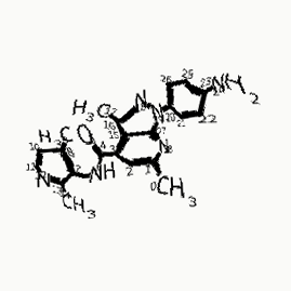 Cc1cc(C(=O)Nc2c(C)ccnc2C)c2c(C)nn(-c3ccc(N)cc3)c2n1